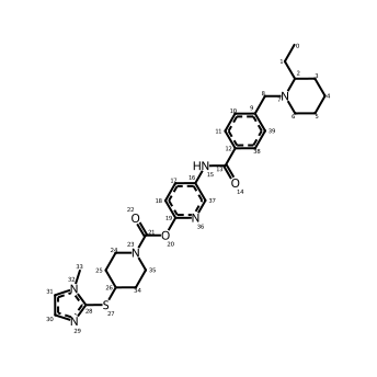 CCC1CCCCN1Cc1ccc(C(=O)Nc2ccc(OC(=O)N3CCC(Sc4nccn4C)CC3)nc2)cc1